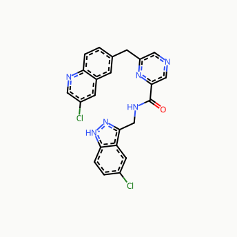 O=C(NCc1n[nH]c2ccc(Cl)cc12)c1cncc(Cc2ccc3ncc(Cl)cc3c2)n1